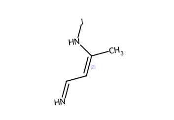 C/C(=C/C=N)NI